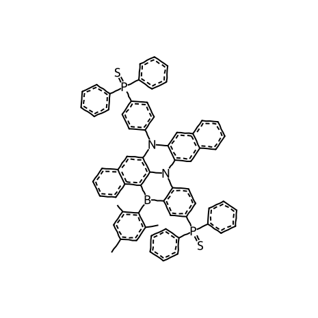 Cc1cc(C)c(B2c3cc(P(=S)(c4ccccc4)c4ccccc4)ccc3N3c4cc5ccccc5cc4N(c4ccc(P(=S)(c5ccccc5)c5ccccc5)cc4)c4cc5ccccc5c2c43)c(C)c1